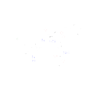 CC(C)(C)OC(=O)NC(C)(C)C(=O)N[C@H](COCc1ccccc1)C(=O)N1CCC2(CC1)CNc1ccc(F)cc12